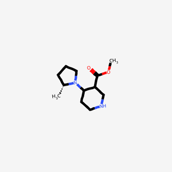 COC(=O)C1CNCCC1N1CCC[C@H]1C